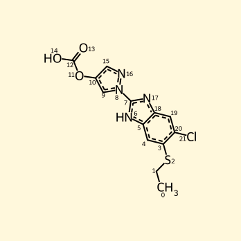 CCSc1cc2[nH]c(-n3cc(OC(=O)O)cn3)nc2cc1Cl